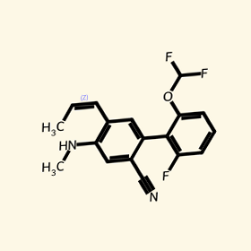 C/C=C\c1cc(-c2c(F)cccc2OC(F)F)c(C#N)cc1NC